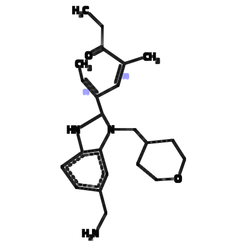 C/C=C(\C=C(\C)C(=O)CC)C1Nc2ccc(CN)cc2N1CC1CCOCC1